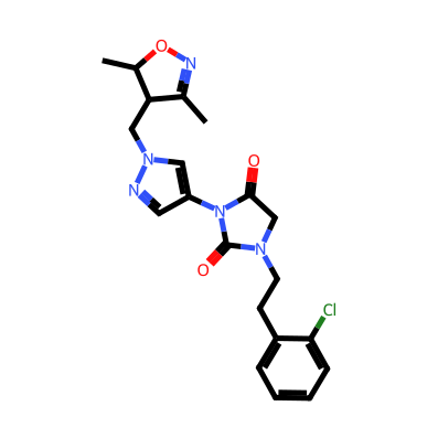 CC1=NOC(C)C1Cn1cc(N2C(=O)CN(CCc3ccccc3Cl)C2=O)cn1